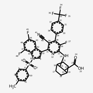 Cc1ccc(S(=O)(=O)n2cc(-c3nc(NC4C5CCC(CC5)C4C(=O)O)c(F)c(-c4ccc(C(F)(F)F)cc4)c3C#N)c3cc(F)cc(F)c32)cc1